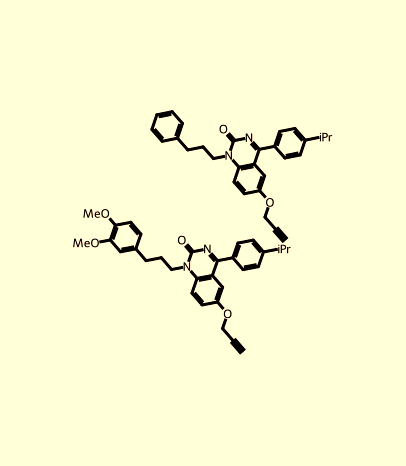 C#CCOc1ccc2c(c1)c(-c1ccc(C(C)C)cc1)nc(=O)n2CCCc1ccc(OC)c(OC)c1.C#CCOc1ccc2c(c1)c(-c1ccc(C(C)C)cc1)nc(=O)n2CCCc1ccccc1